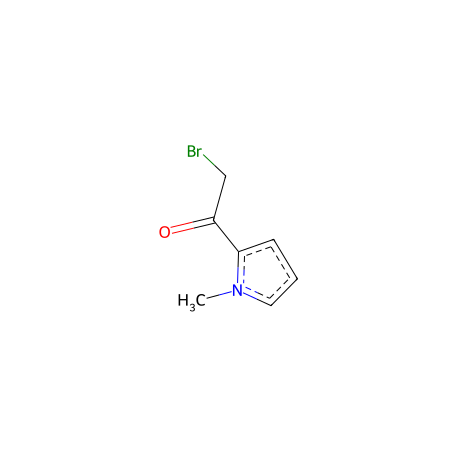 Cn1cccc1C(=O)CBr